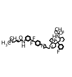 COC(=O)N[C@H]1CCC[C@@H]1[C@](CN1CCC1)(c1cccc(F)c1)C1CCN(CC2CN(c3ccc(C(F)(F)c4cccc(NC(=O)/C=C/CN(C)C)c4)cc3)C2)CC1